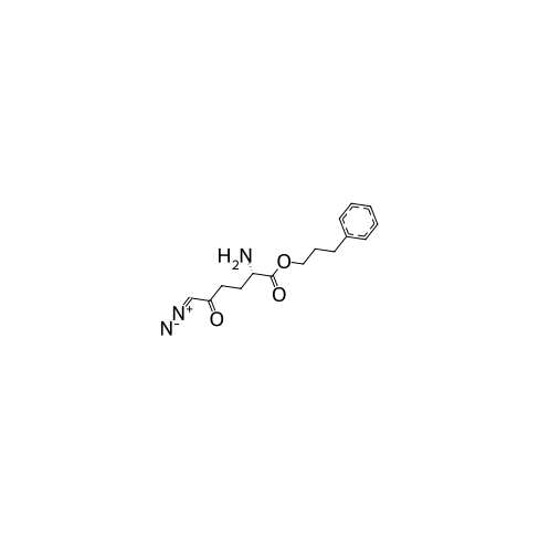 [N-]=[N+]=CC(=O)CC[C@H](N)C(=O)OCCCc1ccccc1